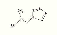 CC(C)Cn1cnnn1